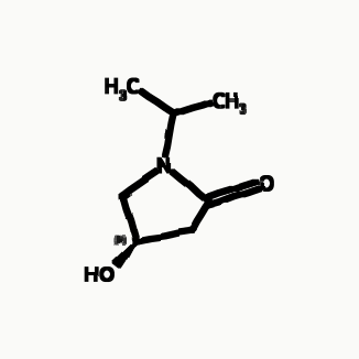 CC(C)N1C[C@H](O)CC1=O